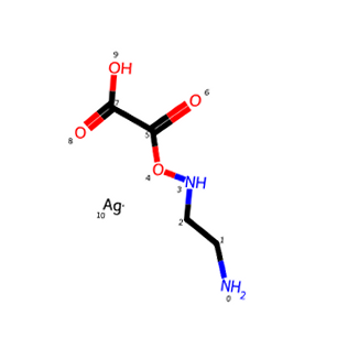 NCCNOC(=O)C(=O)O.[Ag]